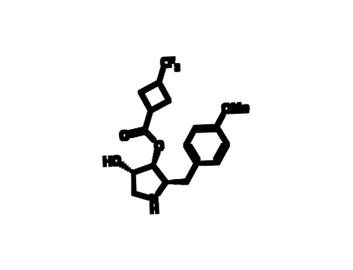 COc1ccc(C[C@H]2NC[C@H](O)[C@H]2OC(=O)C2CC(C(F)(F)F)C2)cc1